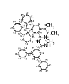 CCC(C)N(C)/C(=N\C(=N)c1cc(-c2ccccc2)cc(-c2ccccc2)c1)c1ccc2c(c1)C1(c3ccccc3-c3ccccc31)c1ccccc1-2